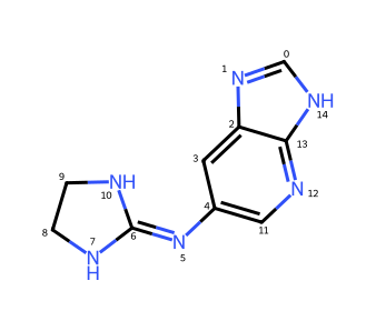 c1nc2cc(N=C3NCCN3)cnc2[nH]1